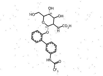 O=C(O)NC1C(O)[C@@H](O)C(CO)O[C@H]1Oc1ccccc1-c1cccc(NC(=O)C(F)(F)F)c1